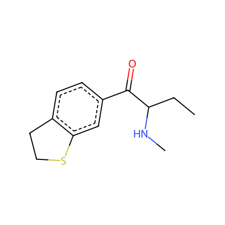 CCC(NC)C(=O)c1ccc2c(c1)SCC2